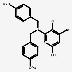 COc1ccc(CN(Cc2ccc(OC)cc2)c2nc(C)cc(Br)c2Cl)cc1